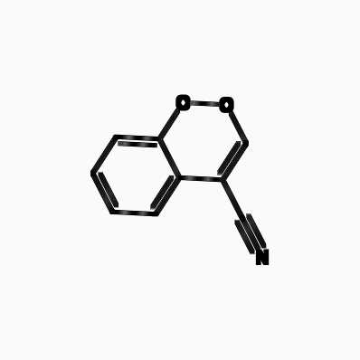 N#CC1=COOc2ccccc21